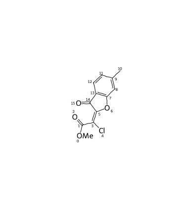 COC(=O)C(Cl)=C1Oc2cc(C)ccc2C1=O